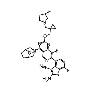 C[C@@]1(F)CCN(CC2(COc3nc(N4CC5CCC(C4)N5)c4cnc(-c5ccc(F)c6sc(N)c(C#N)c56)c(F)c4n3)CC2)C1